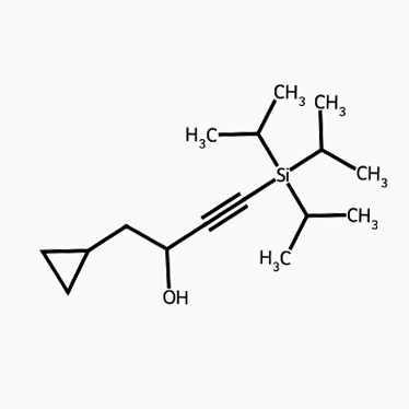 CC(C)[Si](C#CC(O)CC1CC1)(C(C)C)C(C)C